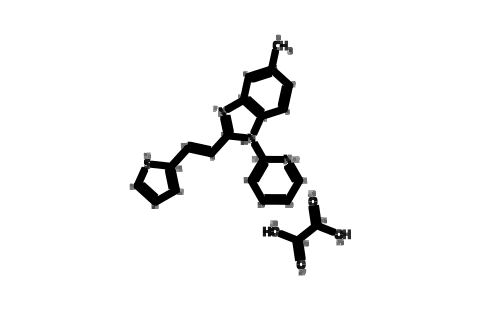 Cc1ccc2c(c1)nc(C=Cc1cccs1)n2-c1ccccn1.O=C(O)C(=O)O